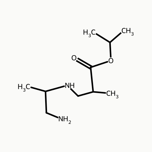 CC(CN)NCC(C)C(=O)OC(C)C